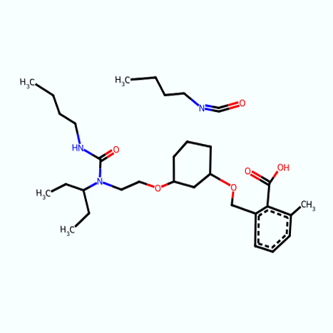 CCCCN=C=O.CCCCNC(=O)N(CCOC1CCCC(OCc2cccc(C)c2C(=O)O)C1)C(CC)CC